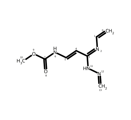 C=C/N=C(\C=C\NC(=O)OC)NN=C